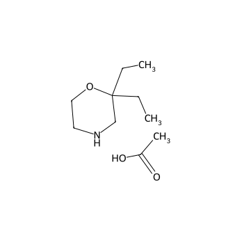 CC(=O)O.CCC1(CC)CNCCO1